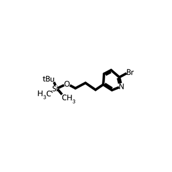 CC(C)(C)[Si](C)(C)OCCCc1ccc(Br)nc1